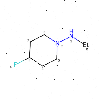 CCNN1CCC(F)CC1